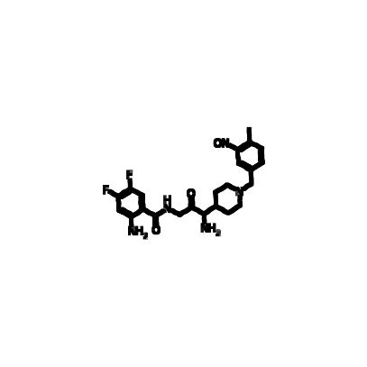 Cc1ccc(CN2CCC(C(N)C(=O)CNC(=O)c3cc(F)c(F)cc3N)CC2)cc1N=O